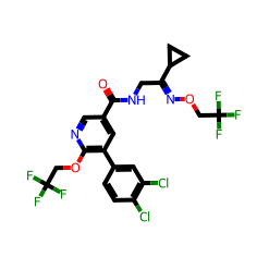 O=C(NCC(=NOCC(F)(F)F)C1CC1)c1cnc(OCC(F)(F)F)c(-c2ccc(Cl)c(Cl)c2)c1